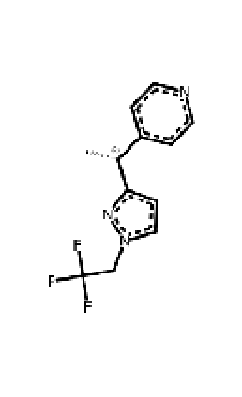 C[C@H](c1ccncc1)c1ccn(CC(F)(F)F)n1